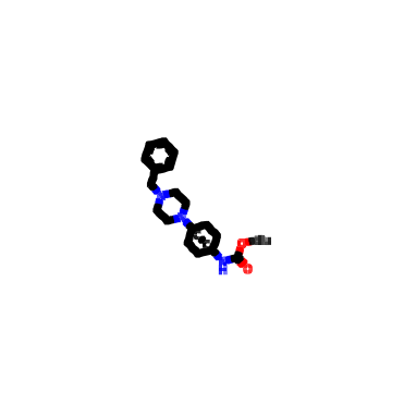 CC(C)(C)OC(=O)NC12CCC(N3CCN(Cc4ccccc4)CC3)(CC1)CC2